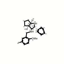 COc1ccc(F)cc1CN[C@@H]1[C@H]2CCC[C@H]2N[C@@H]1c1ccccc1